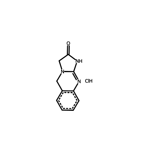 Cl.O=C1CN2Cc3ccccc3N=C2N1